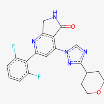 O=C1NCc2nc(-c3c(F)cccc3F)cc(-n3cnc(C4CCOCC4)n3)c21